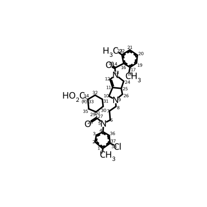 Cc1ccc(N(CCCN2CC3=CN(C(=O)c4c(C)cccc4C)CC3C2)C(=O)[C@H]2CCC[C@@H](C(=O)O)C2)cc1Cl